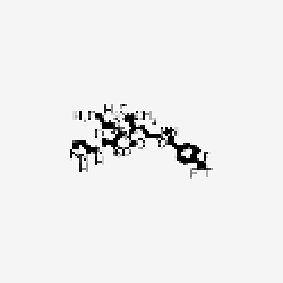 CCCC[C@@H](C(=O)C(=O)Nc1ccn[nH]1)N(C(=O)O)[C@H](CCc1nnc(-c2ccc(C(F)(F)F)cc2)o1)C(C)(C)C